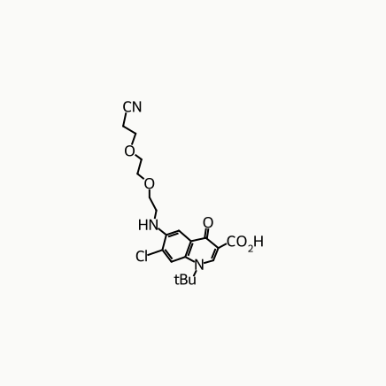 CC(C)(C)n1cc(C(=O)O)c(=O)c2cc(NCCOCCOCCC#N)c(Cl)cc21